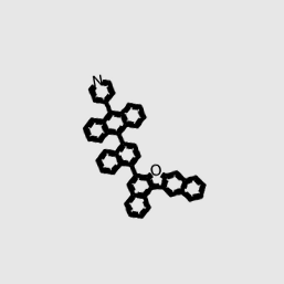 c1ccc2cc3c(cc2c1)oc1c(-c2ccc(-c4c5ccccc5c(-c5ccncc5)c5ccccc45)c4ccccc24)cc2ccccc2c13